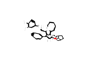 Cc1c(S(=O)(=O)NC2C3CCC2CC(O)(c2cc(-c4ccccc4)on2)C3)c2n(c1C(=O)Nc1ccc(F)c(F)c1)CCCC=C2